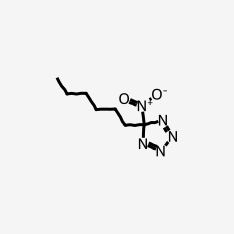 CCCCCCC1([N+](=O)[O-])N=NN=N1